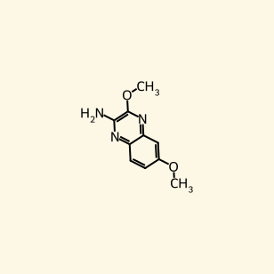 COc1ccc2nc(N)c(OC)nc2c1